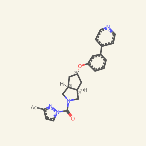 CC(=O)c1ccn(C(=O)N2C[C@H]3C[C@H](Oc4cccc(-c5ccncc5)c4)C[C@H]3C2)n1